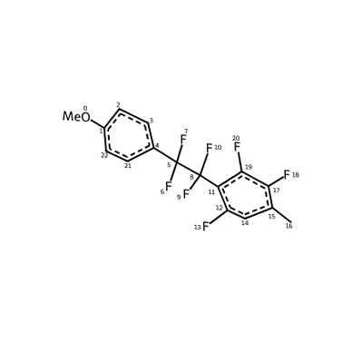 COc1ccc(C(F)(F)C(F)(F)c2c(F)cc(C)c(F)c2F)cc1